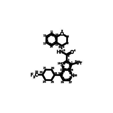 CC(C)c1c(C(=O)N[C@H]2CCOc3ccccc32)sc2c(C3CCC(C(F)(F)F)CC3)ccnc12